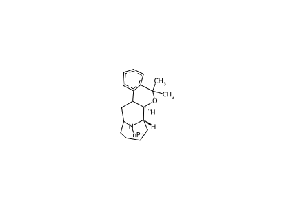 CCCN1C2CCCC[C@H]1[C@@H]1OC(C)(C)c3ccccc3C1C2